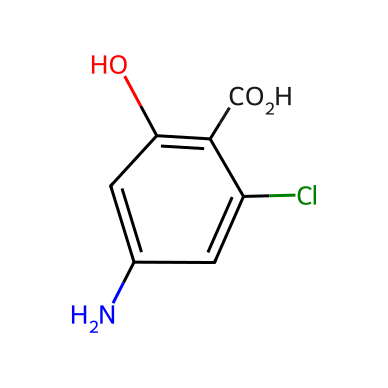 Nc1cc(O)c(C(=O)O)c(Cl)c1